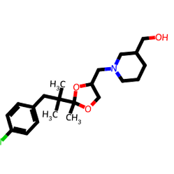 CC(C)(Cc1ccc(Cl)cc1)C1(C)OCC(CN2CCCC(CO)C2)O1